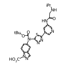 CC(C)NCC(=O)Nc1cncc(-c2nnc(N(C(=O)OC(C)(C)C)c3ccc4c(cnn4C(=O)O)c3)s2)c1